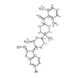 CCO[C@@H]1Cc2cc(Br)ccc2[C@@H]1N1CCN(C2(C)CCN(C(=O)c3c(C)ncnc3C)CC2)C[C@@H]1C